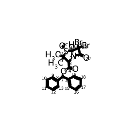 CC1(C)C(C(=O)OC(c2ccccc2)c2ccccc2)N2C(=O)C(Br)(Br)[C@@H]2[S+]1[O-]